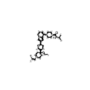 CCOC1(c2ccc(-c3cc4c(N5CCN(C(=O)NC(C)C)CC5)ccnn4c3)nc2)CCN(C[C@H](C)F)CC1